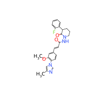 COc1cc(C=CC(=O)NN2CCCC(c3ccccc3F)C2=O)ccc1-n1cnc(C)c1